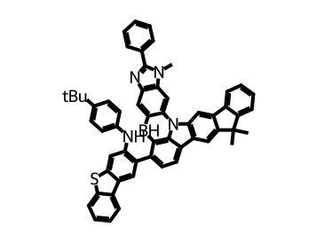 Cn1c(-c2ccccc2)nc2cc3c(cc21)-n1c2cc4c(cc2c2ccc(-c5cc6c(cc5Nc5ccc(C(C)(C)C)cc5)sc5ccccc56)c(c21)B3)C(C)(C)c1ccccc1-4